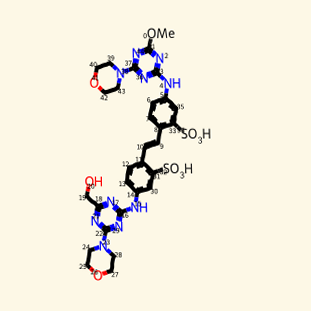 COc1nc(Nc2ccc(C=Cc3ccc(Nc4nc(CO)nc(N5CCOCC5)n4)cc3S(=O)(=O)O)c(S(=O)(=O)O)c2)nc(N2CCOCC2)n1